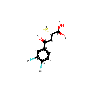 O=C(C[C@H](S)C(=O)O)c1ccc(F)c(F)c1